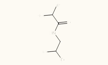 CCC(O)CNC(=O)C(O)C(C)C